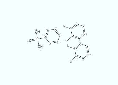 Cc1ccccc1C.Cc1ccccc1C.O=P(O)(O)c1ccccc1